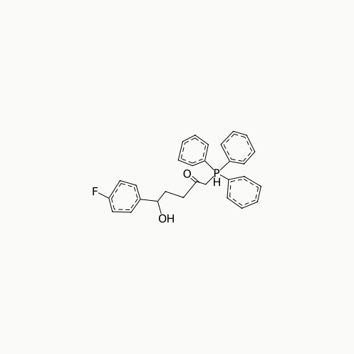 O=C(CCC(O)c1ccc(F)cc1)C[PH](c1ccccc1)(c1ccccc1)c1ccccc1